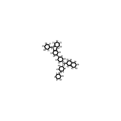 c1ccc(-c2ccc(N(c3ccc(-c4ccc5c(c4)c4ccccc4n5-c4ccccc4)cc3)c3ccc4ccccc4c3)cc2)cc1